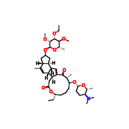 CCO[C@@H]1[C@@H](OC)[C@H](C)O[C@@H](O[C@H]2C[C@H]3[C@@H]4C=C5C(=O)[C@H](C)C(O[C@H]6CC[C@H](N(C)C)[C@@H](C)O6)CCC[C@H](CC)OC(=O)C[C@H]5[C@@H]4C=C(C)[C@@H]3C2)[C@@H]1OC